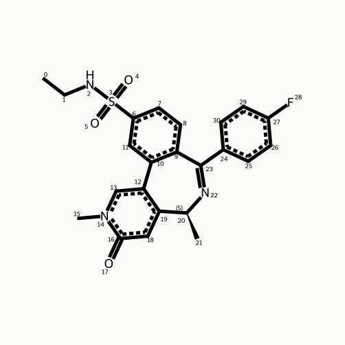 CCNS(=O)(=O)c1ccc2c(c1)-c1cn(C)c(=O)cc1[C@H](C)N=C2c1ccc(F)cc1